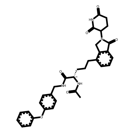 CC(=O)N[C@@H](CCCc1cccc2c1CN(C1CCC(=O)NC1=O)C2=O)C(=O)NCc1ccc(Oc2ccccc2)cc1